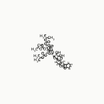 CC(C)OC(=O)OCOP(=O)(OCOC(=O)OC(C)C)OP(=O)(OCOC(=O)OC(C)C)OC[C@H]1O[C@@H](n2ccc(=O)n(Cc3noc4ccccc34)c2=O)C(O)C1O